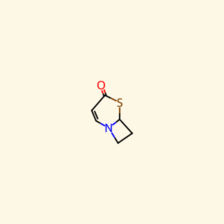 O=C1C=CN2CCC2S1